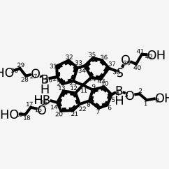 OCCOBc1ccc2c(c1)C1(c3cc(BOCCO)ccc3-2)c2cc(BOCCO)ccc2-c2ccc(SOCCO)cc21